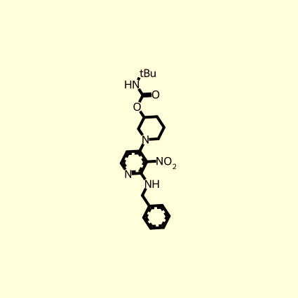 CC(C)(C)NC(=O)OC1CCCN(c2ccnc(NCc3ccccc3)c2[N+](=O)[O-])C1